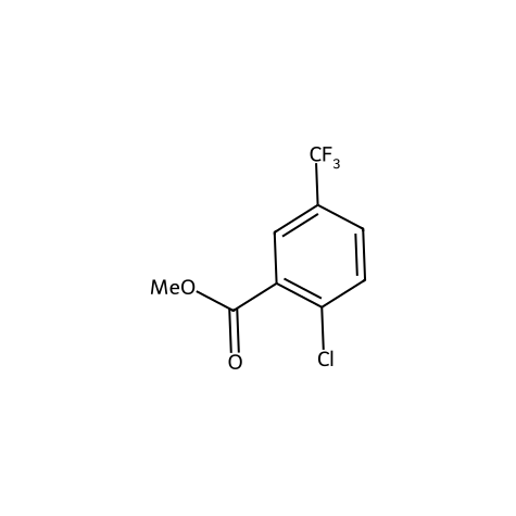 COC(=O)c1cc(C(F)(F)F)ccc1Cl